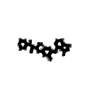 Cc1c[nH]c2nccc(Oc3ccc(CC(N)C(=O)Nc4ccncc4)cc3F)c12